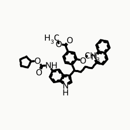 COC(=O)c1ccc(C(CCCc2ccc3ccccc3n2)c2c[nH]c3ccc(NC(=O)OC4CCCC4)cc23)c(OC)c1